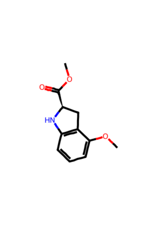 COC(=O)[C@H]1Cc2c(cccc2OC)N1